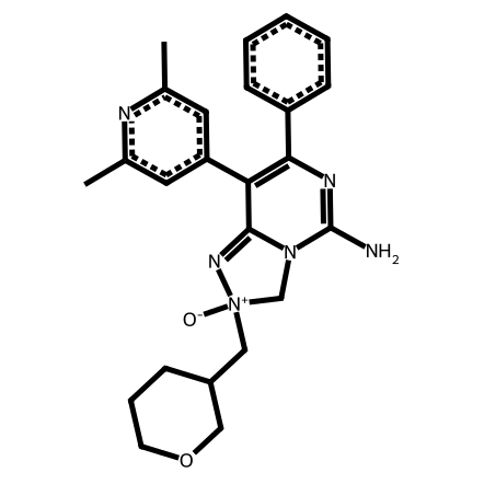 Cc1cc(C2=C(c3ccccc3)N=C(N)N3C[N+]([O-])(CC4CCCOC4)N=C23)cc(C)n1